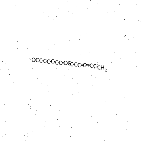 C=C=C=C=C=C=C=C=C=C=C=C=C=C=C=C=C=O